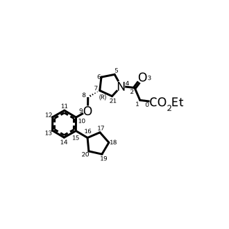 CCOC(=O)CC(=O)N1CC[C@@H](COc2ccccc2C2CCCC2)C1